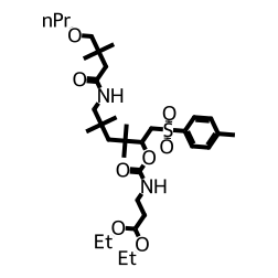 CCCOCC(C)(C)CC(=O)NCC(C)(C)CC(C)(C)C(CS(=O)(=O)c1ccc(C)cc1)OC(=O)NCCC(OCC)OCC